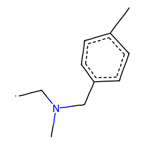 [CH2]CN(C)Cc1ccc(C)cc1